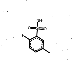 Cc1ccc(F)c(S([NH])(=O)=O)c1